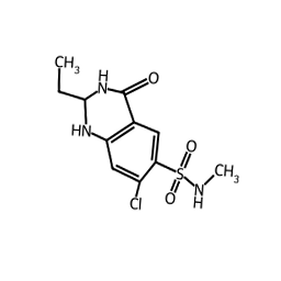 CCC1NC(=O)c2cc(S(=O)(=O)NC)c(Cl)cc2N1